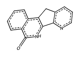 O=c1[nH]c2c(c3ccccc13)Cc1cccnc1-2